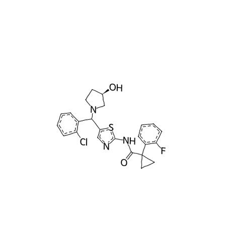 O=C(Nc1ncc(C(c2ccccc2Cl)N2CC[C@@H](O)C2)s1)C1(c2ccccc2F)CC1